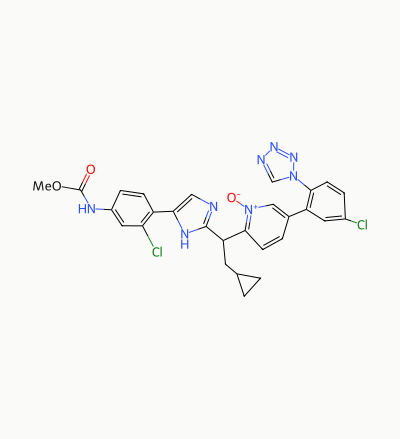 COC(=O)Nc1ccc(-c2cnc(C(CC3CC3)c3ccc(-c4cc(Cl)ccc4-n4cnnn4)c[n+]3[O-])[nH]2)c(Cl)c1